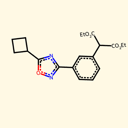 CCOC(=O)C(C(=O)OCC)c1cccc(-c2noc(C3CCC3)n2)c1